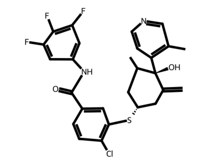 C=C1C[C@H](Sc2cc(C(=O)Nc3cc(F)c(F)c(F)c3)ccc2Cl)CC(C)[C@]1(O)c1ccncc1C